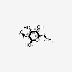 CC[C@@H]1OC(O)[C@H](C=O)[C@@H](O)[C@H]1O